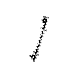 COc1ccc(CCCC(=O)NCCOCCOCCOCCOCCC(=O)NC2CC(=O)OC(=O)C2)cc1